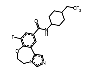 O=C(NC1CCC(CC(F)(F)F)CC1)c1cc(F)c2c(c1)-c1cncn1CCO2